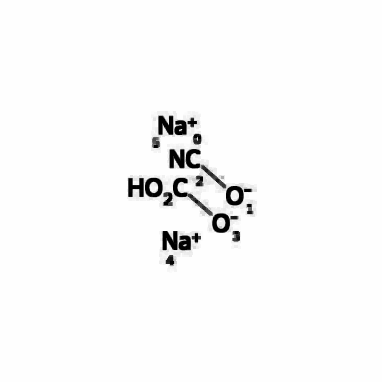 N#C[O-].O=C([O-])O.[Na+].[Na+]